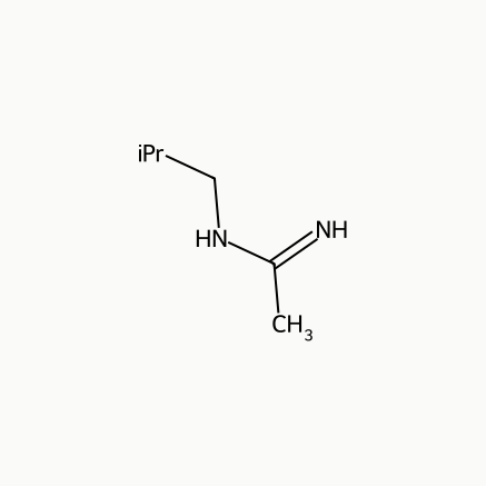 CC(=N)NCC(C)C